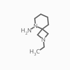 CCN1CC2(CCCCN2N)C1